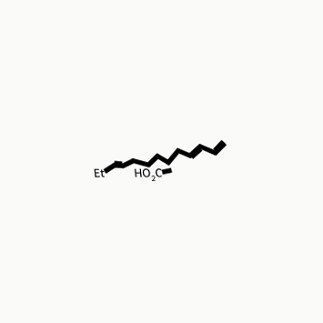 C=CC=CCCCCCC=CCC.CC(=O)O